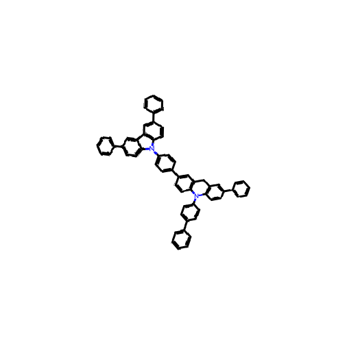 c1ccc(-c2ccc(N3c4ccc(-c5ccccc5)cc4Cc4cc(-c5ccc(-n6c7ccc(-c8ccccc8)cc7c7cc(-c8ccccc8)ccc76)cc5)ccc43)cc2)cc1